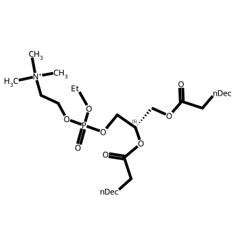 CCCCCCCCCCCC(=O)OC[C@@H](COP(=O)(OCC)OCC[N+](C)(C)C)OC(=O)CCCCCCCCCCC